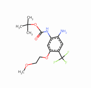 COCCOc1cc(NC(=O)OC(C)(C)C)c(N)cc1C(F)(F)F